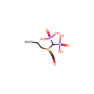 COCCS(=C=O)C(P(=O)(O)O)P(=O)(O)O